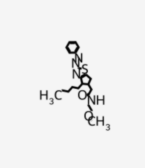 CCCCCC1c2nc(N=Nc3ccccc3)sc2CC1CC(=O)NCCOC